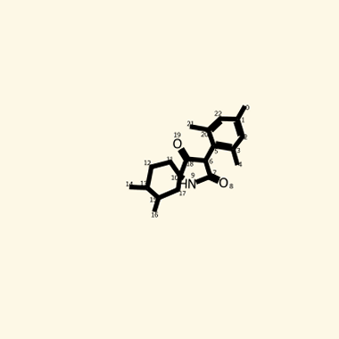 Cc1cc(C)c(C2C(=O)NC3(CCC(C)C(C)C3)C2=O)c(C)c1